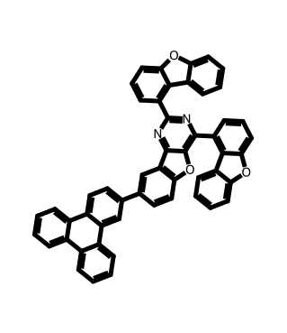 c1ccc2c(c1)oc1cccc(-c3nc(-c4cccc5oc6ccccc6c45)c4oc5ccc(-c6ccc7c8ccccc8c8ccccc8c7c6)cc5c4n3)c12